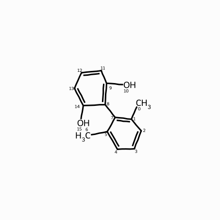 Cc1cccc(C)c1-c1c(O)cccc1O